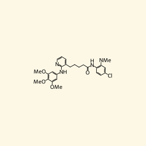 CNc1cc(Cl)ccc1NC(=O)CCCCc1cccnc1Nc1cc(OC)c(OC)c(OC)c1